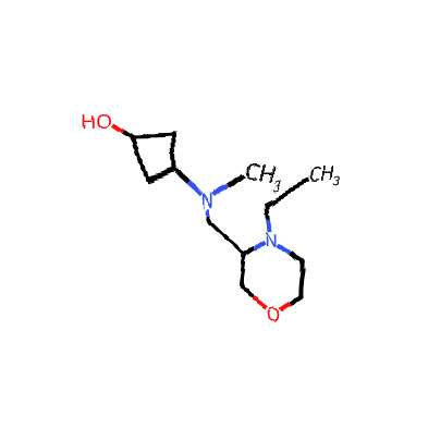 CCN1CCOCC1CN(C)C1CC(O)C1